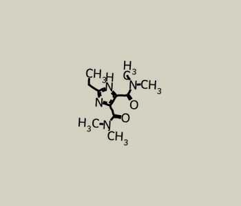 CCc1nc(C(=O)N(C)C)c(C(=O)N(C)C)[nH]1